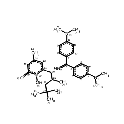 CN(C)c1ccc(C(=N)c2ccc(N(C)C)cc2)cc1.Cc1cc(CC(C)CC(C)(C)C)n(O)c(=O)c1